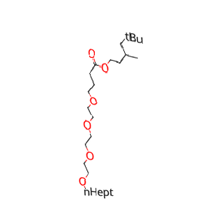 CCCCCCCOCCOCCOCCOCCCC(=O)OCCC(C)CC(C)(C)C